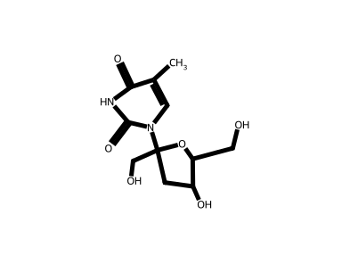 Cc1cn(C2(CO)CC(O)C(CO)O2)c(=O)[nH]c1=O